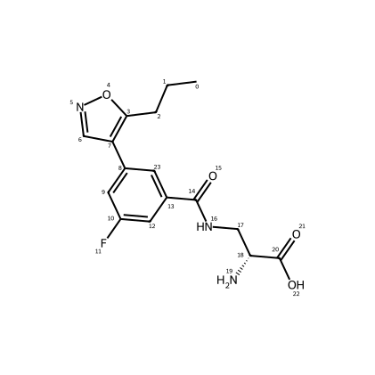 CCCc1oncc1-c1cc(F)cc(C(=O)NC[C@@H](N)C(=O)O)c1